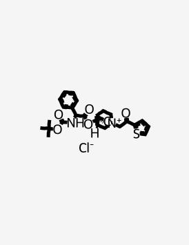 CC(C)(C)OC(=O)NC(C(=O)O[C@H]1C[N+]2(CC(=O)c3cccs3)CCC1CC2)c1ccccc1.[Cl-]